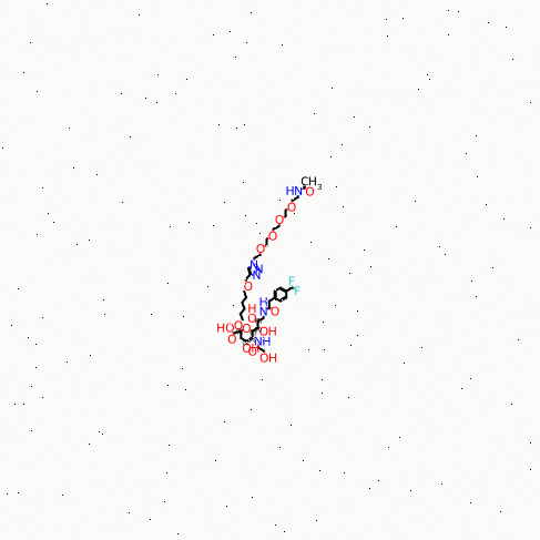 CC(=O)NCCOCCOCCOCCOCCn1cc(COCCCCCCO[C@]2(C(=O)O)C[C@H](O)[C@@H](NC(=O)CO)[C@H]([C@H](O)[C@H](O)CNC(=O)Cc3ccc(C(F)F)cc3)O2)nn1